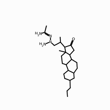 CCCC1CCC2C(CCC3C2CCC2(C)C3CC(=O)C2C(C)CN(N)/N=C(/C)N)C1